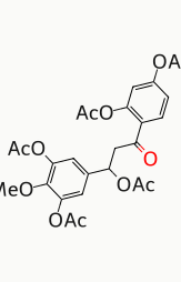 COc1c(OC(C)=O)cc(C(CC(=O)c2ccc(OC(C)=O)cc2OC(C)=O)OC(C)=O)cc1OC(C)=O